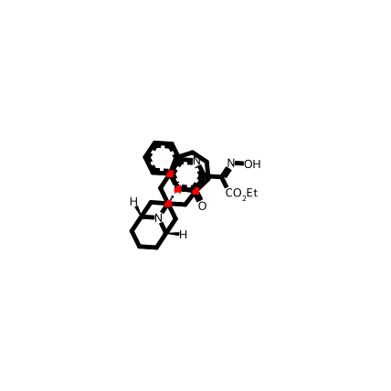 CCOC(=O)C(=NO)c1nc2ccccc2n([C@H]2C[C@H]3CCC[C@@H](C2)N3C2CC3CCCCC(C3)C2)c1=O